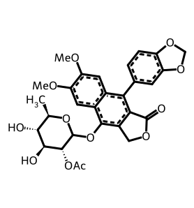 COc1cc2c(OC3O[C@H](C)[C@@H](O)[C@H](O)[C@H]3OC(C)=O)c3c(c(-c4ccc5c(c4)OCO5)c2cc1OC)C(=O)OC3